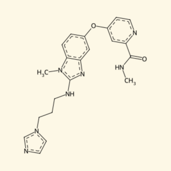 CNC(=O)c1cc(Oc2ccc3c(c2)nc(NCCCn2ccnc2)n3C)ccn1